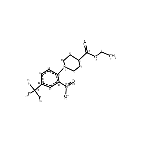 CCOC(=O)C1CCN(c2ccc(C(F)(F)F)cc2[N+](=O)[O-])CC1